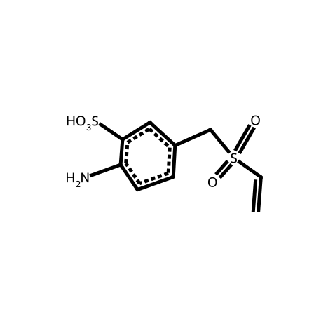 C=CS(=O)(=O)Cc1ccc(N)c(S(=O)(=O)O)c1